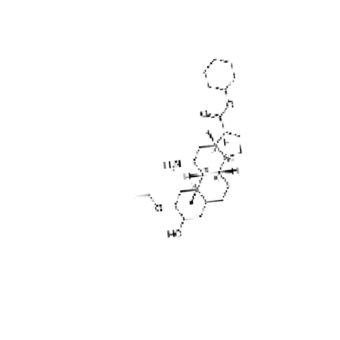 CCOC1C[C@@]2(C)C(CC[C@@H]3[C@H]2C(N)C[C@]2(C)C(C(=O)OC4CCCCC4)CC[C@@H]32)CC1O